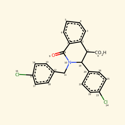 O=C(O)C1c2ccccc2C(=O)N(Cc2ccc(Cl)cc2)C1c1ccc(Cl)cc1